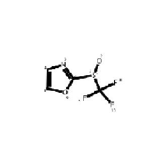 [O-][S+](c1ncco1)C(F)(F)F